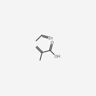 C=C(C)C(=O)O.C[CH]=[Zn]